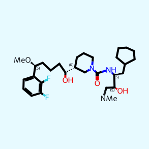 CNC[C@H](O)[C@H](CC1CCCCC1)NC(=O)N1CCC[C@@H](C(O)CCC[C@H](OC)c2cccc(F)c2F)C1